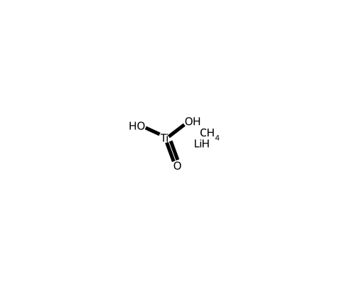 C.[LiH].[O]=[Ti]([OH])[OH]